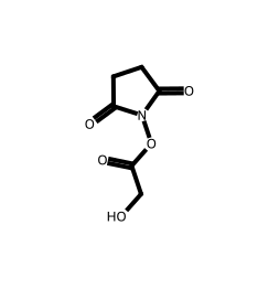 O=C(CO)ON1C(=O)CCC1=O